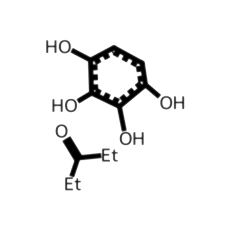 CCC(=O)CC.Oc1ccc(O)c(O)c1O